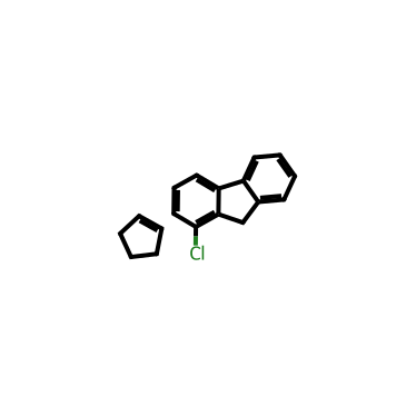 C1=CCCC1.Clc1cccc2c1Cc1ccccc1-2